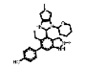 CCc1c(-c2ccc(O)cc2)cc2c(c1C1NC3=C(CNC3)N1C1CCCCO1)CN(F)N2